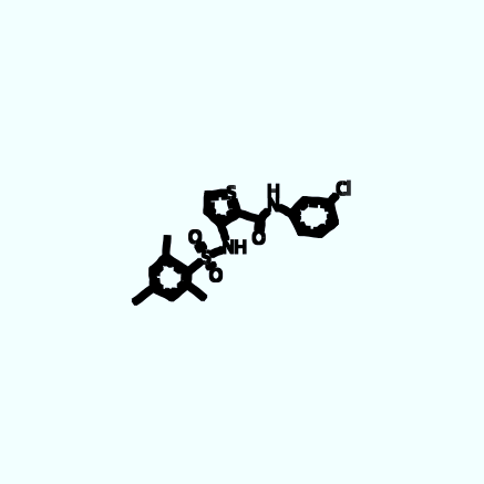 Cc1cc(C)c(S(=O)(=O)Nc2ccsc2C(=O)Nc2cccc(Cl)c2)c(C)c1